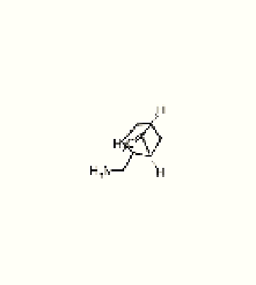 C=C1[C@H]2CCC(CN)[C@@H]1C2